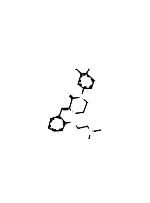 CN(C)CCOc1ccccc1/C=C1\SCCN(c2ccc(Cl)c(Cl)c2)C1=O